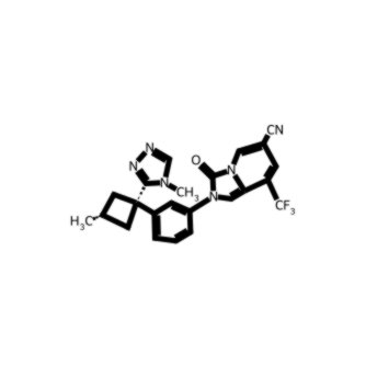 Cn1cnnc1[C@]1(c2cccc(-n3cc4c(C(F)(F)F)cc(C#N)cn4c3=O)c2)C[C@H](C)C1